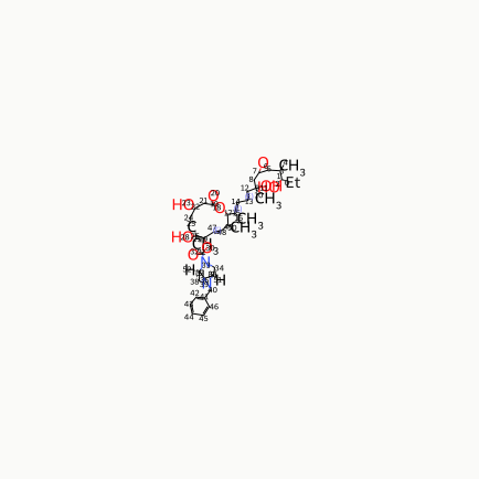 CCC(O)C(C)C1OC1CC(C)(O)/C=C/C=C(\C)C1OC(=O)CC(O)CCC(C)(O)C(OC(=O)N2C[C@@H]3C[C@H]2CN3Cc2ccccc2)/C=C/C1C